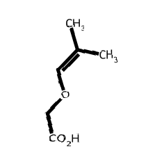 CC(C)=COCC(=O)O